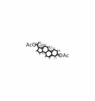 CC(=O)O/C(C)=C1\CCC2C3CC=C4C[C@@H](OC(C)=O)CC[C@]4(C)C3CC[C@]12C